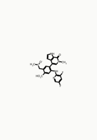 Cn1cc(-c2cc(C[S+](C)[O-])c(C(=O)O)cc2Nc2ncc(F)cc2F)c2cc[nH]c2c1=O